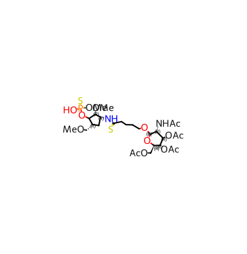 COC[C@H]1C[C@@H](NC(=S)CCCCO[C@@H]2O[C@H](COC(C)=O)[C@H](OC(C)=O)[C@H](OC(C)=O)[C@H]2NC(C)=O)[C@@H](OC)C1OP(O)(=S)OC